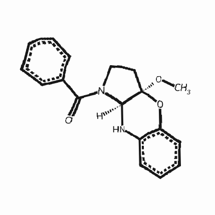 CO[C@@]12CCN(C(=O)c3ccccc3)[C@@H]1Nc1ccccc1O2